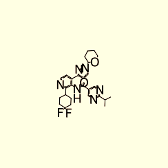 CC(C)c1ncc(C(=O)Nc2c(-c3ccn(C4CCCCO4)n3)ccnc2C2CCC(F)(F)CC2)cn1